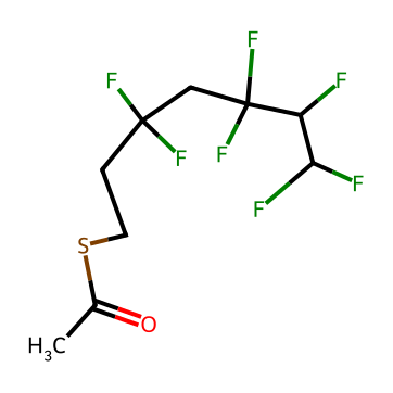 CC(=O)SCCC(F)(F)CC(F)(F)C(F)C(F)F